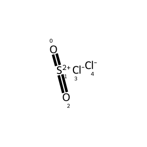 O=[S+2]=O.[Cl-].[Cl-]